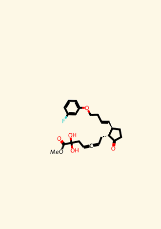 COC(=O)C(O)(O)CC=C=CC[C@H]1C(=O)CC[C@@H]1/C=C/CCOc1cccc(F)c1